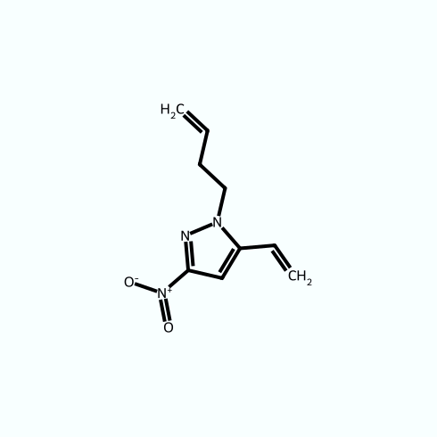 C=CCCn1nc([N+](=O)[O-])cc1C=C